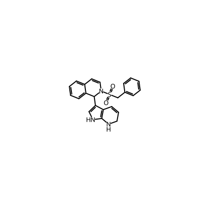 O=S(=O)(Cc1ccccc1)N1C=Cc2ccccc2C1c1c[nH]c2c1C=CCN2